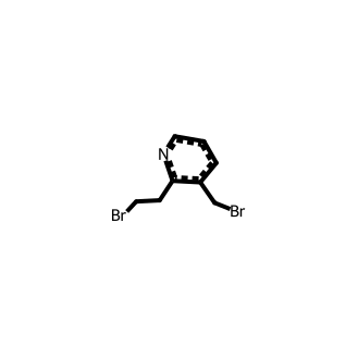 BrCCc1ncccc1CBr